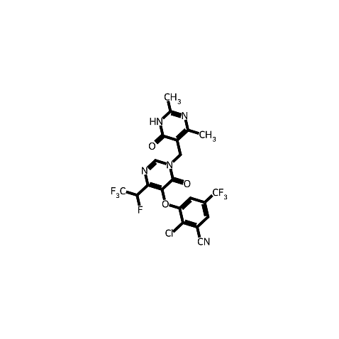 Cc1nc(C)c(Cn2cnc(C(F)C(F)(F)F)c(Oc3cc(C(F)(F)F)cc(C#N)c3Cl)c2=O)c(=O)[nH]1